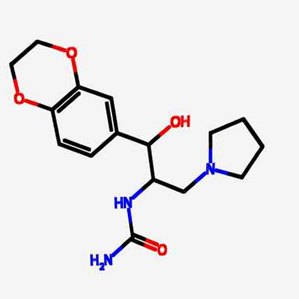 NC(=O)NC(CN1CCCC1)C(O)c1ccc2c(c1)OCCO2